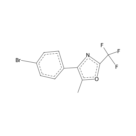 Cc1oc(C(F)(F)F)nc1-c1ccc(Br)cc1